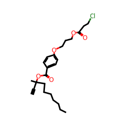 C#CC(C)(CCCCCCC)OC(=O)c1ccc(OCCCOC(=O)CCCl)cc1